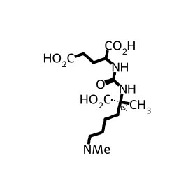 CNCCCC[C@](C)(NC(=O)NC(CCC(=O)O)C(=O)O)C(=O)O